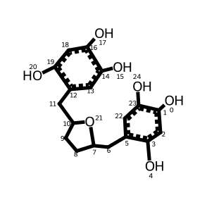 Oc1cc(O)c(CC2CCC(Cc3cc(O)c(O)cc3O)O2)cc1O